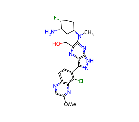 COc1cnc2ccc(-c3n[nH]c4nc(N(C)[C@@H]5CC[C@@H](F)[C@@H](N)C5)c(CO)nc34)c(Cl)c2n1